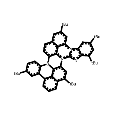 CC(C)(C)c1ccc2c(c1)-c1cccc3c(C(C)(C)C)cc4c(c13)B2c1ccc2cc(C(C)(C)C)cc3c2c1n-4c1nc2c(C(C)(C)C)cc(C(C)(C)C)cc2n31